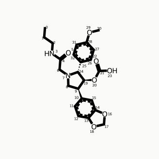 CCCNC(=O)CN1C[C@H](c2ccc3c(c2)OCO3)[C@H](OC(=O)O)[C@H]1c1ccc(OC)cc1